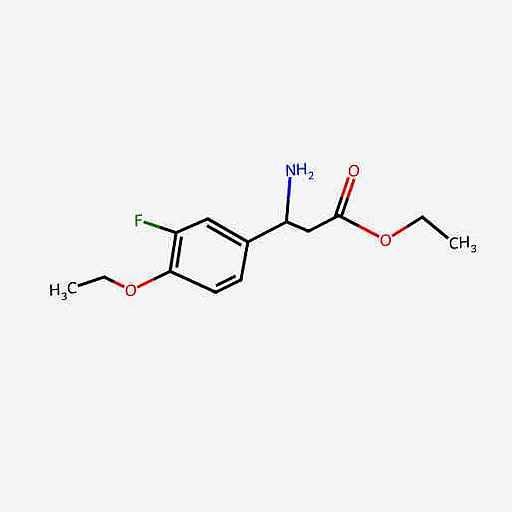 CCOC(=O)CC(N)c1ccc(OCC)c(F)c1